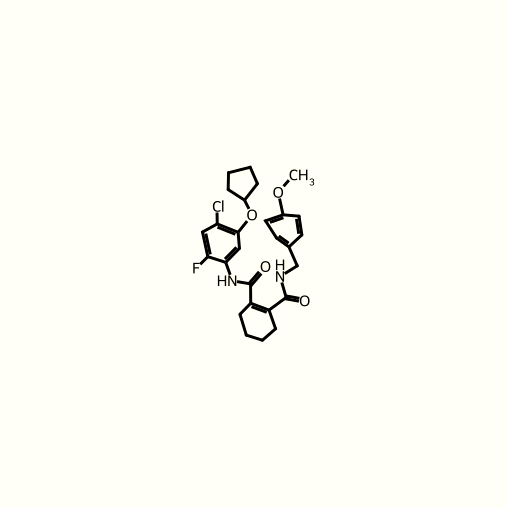 COc1ccc(CNC(=O)C2=C(C(=O)Nc3cc(OC4CCCC4)c(Cl)cc3F)CCCC2)cc1